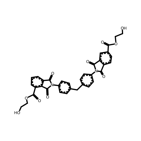 O=C(OCCO)c1ccc2c(c1)C(=O)N(c1ccc(Cc3ccc(N4C(=O)c5cccc(C(=O)OCCO)c5C4=O)cc3)cc1)C2=O